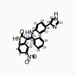 O=C1Nc2ccc([N+](=O)[O-])cc2/C1=C(/Nc1ccc(-c2c[nH]cn2)cc1)c1ccccc1